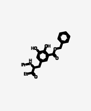 CCC(=O)C(Cc1cc(O)c(O)c(C(=O)OCc2ccccc2)c1)NC(C)C